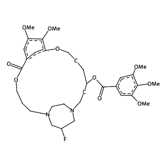 COc1cc(C(=O)OC2CCCOc3cc(cc(OC)c3OC)C(=O)OCCCN3CCN(CC2)CC(F)C3)cc(OC)c1OC